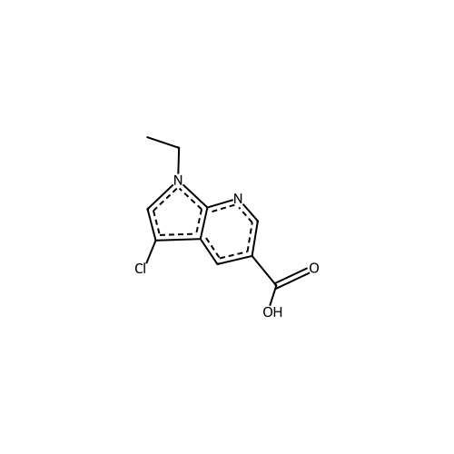 CCn1cc(Cl)c2cc(C(=O)O)cnc21